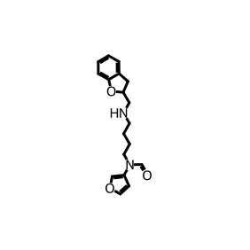 O=CN(CCCCNCC1Cc2ccccc2O1)c1ccoc1